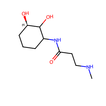 CNCCC(=O)NC1CCC[C@@H](O)C1O